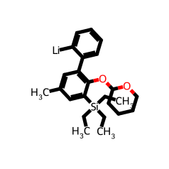 [Li][c]1ccccc1-c1cc(C)cc([Si](CC)(CC)CC)c1OC1CCCCO1